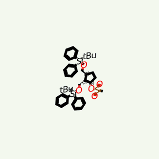 CC(C)(C)[Si](OC[C@H]1CC[C@H](OS(C)(=O)=O)[C@@H]1CO[Si](c1ccccc1)(c1ccccc1)C(C)(C)C)(c1ccccc1)c1ccccc1